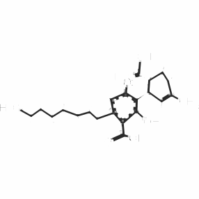 C=C(C)[C@@H]1CCC(C)=C[C@H]1c1c(O)cc(CCCCCCCC)c(C(=O)O)c1O